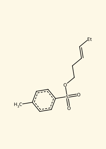 CCC=CCCOS(=O)(=O)c1ccc(C)cc1